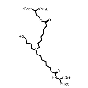 CCCCCCCCC(CCCCCCCC)NC(=O)CCCCCCCN(CCCCO)CCCCCCCC(=O)OCCC(CCCCC)CCCCC